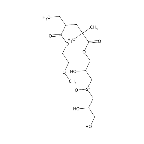 CCC(CC(C)(C)C(=O)OCC(O)C[S+]([O-])CC(O)CO)C(=O)OCCOC